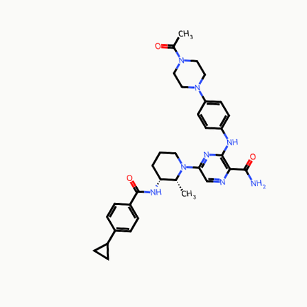 CC(=O)N1CCN(c2ccc(Nc3nc(N4CCC[C@@H](NC(=O)c5ccc(C6CC6)cc5)[C@H]4C)cnc3C(N)=O)cc2)CC1